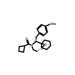 COc1ccc(C[C@@H]2N(C(=O)C3CCC3)CC[C@]34CCCCC23O4)cc1